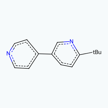 CC(C)(C)c1ccc(-c2ccncc2)cn1